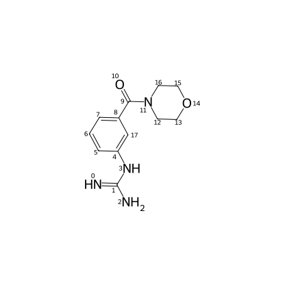 N=C(N)Nc1cccc(C(=O)N2CCOCC2)c1